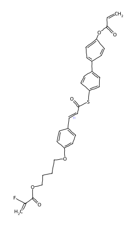 C=CC(=O)Oc1ccc(-c2ccc(SC(=O)/C=C/c3ccc(OCCCCOC(=O)C(=C)F)cc3)cc2)cc1